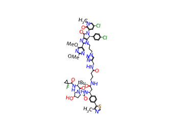 COc1ncc(-c2nc3c(n2CCCn2cc(CNC(=O)CCCNC(=O)C[C@H](NC(=O)[C@@H]4C[C@@H](O)CN4C(=O)[C@@H](NC(=O)C4(F)CC4)C(C)(C)C)c4ccc(-c5scnc5C)cc4)nn2)[C@H](c2ccc(Cl)cc2)N(c2cc(Cl)cn(C)c2=O)C3=O)c(OC)n1